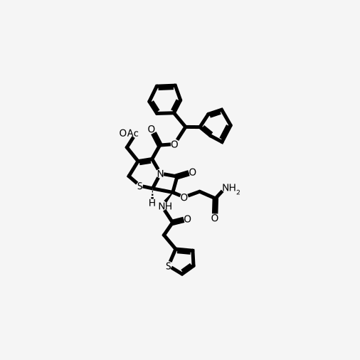 CC(=O)OCC1=C(C(=O)OC(c2ccccc2)c2ccccc2)N2C(=O)[C@](NC(=O)Cc3cccs3)(OCC(N)=O)[C@H]2SC1